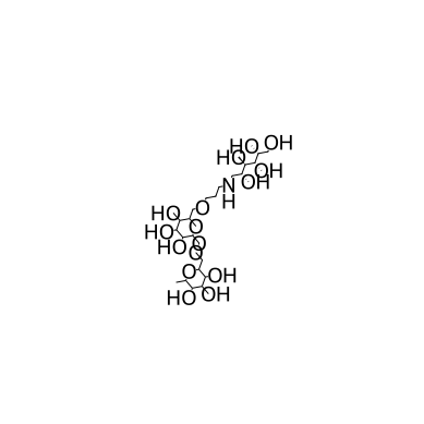 CC1OC(COOC2OC(COCCCNC[C@@H](O)[C@@H](O)[C@@H](O)[C@H](O)CO)C(O)C(O)C2O)C(O)C(O)C1O